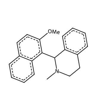 COc1ccc2ccccc2c1C1c2ccccc2CCN1C